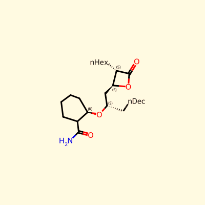 CCCCCCCCCCC[C@@H](C[C@@H]1OC(=O)[C@H]1CCCCCC)O[C@@H]1CCCCC1C(N)=O